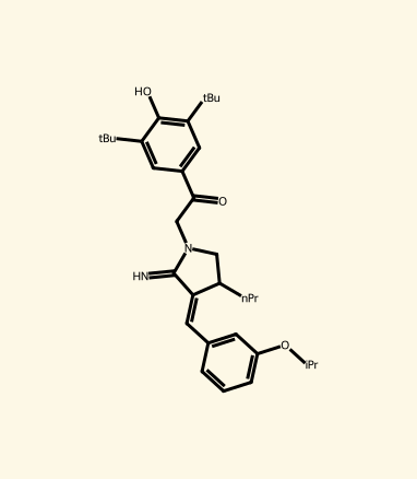 CCCC1CN(CC(=O)c2cc(C(C)(C)C)c(O)c(C(C)(C)C)c2)C(=N)/C1=C/c1cccc(OC(C)C)c1